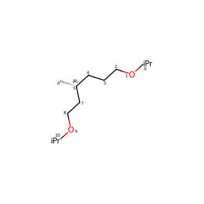 CC(C)OCCC[C@@H](C)CCOC(C)C